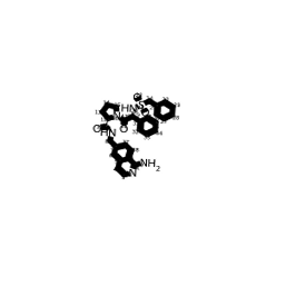 Nc1nccc2cc(CNC(=O)[C@@H]3CCCN3C(=O)[C@H](NS(=O)(=O)Cc3ccccc3)c3ccccc3)ccc12